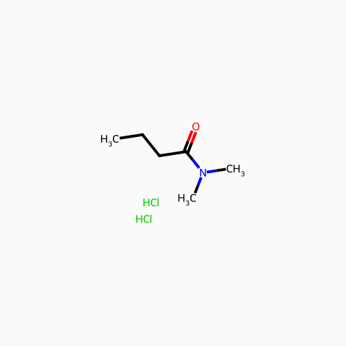 CCCC(=O)N(C)C.Cl.Cl